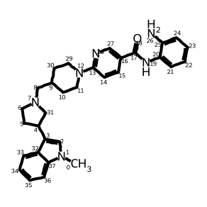 Cn1cc(C2CCN(CC3CCN(c4ccc(C(=O)Nc5ccccc5N)cn4)CC3)C2)c2ccccc21